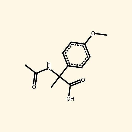 COc1ccc(C(C)(NC(C)=O)C(=O)O)cc1